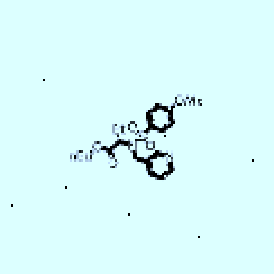 CCCCOC(=O)[C@@H](CC)N(Cc1cccnc1)S(=O)(=O)c1ccc(OC)cc1